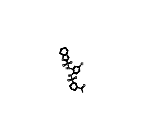 CC(=O)c1cccc(S(=O)(=O)Nc2ccc(Cl)cc2NS(=O)(=O)c2cc3ccccc3o2)c1